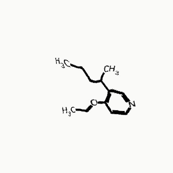 CCCC(C)c1cnccc1OCC